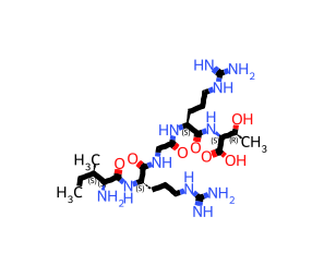 CC[C@H](C)[C@H](N)C(=O)N[C@@H](CCCNC(=N)N)C(=O)NCC(=O)N[C@@H](CCCNC(=N)N)C(=O)N[C@H](C(=O)O)[C@@H](C)O